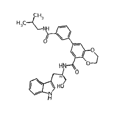 CC(C)CNC(=O)c1cccc(-c2cc3c(c(C(=O)N[C@@H](CO)Cc4c[nH]c5ccccc45)c2)OCCO3)c1